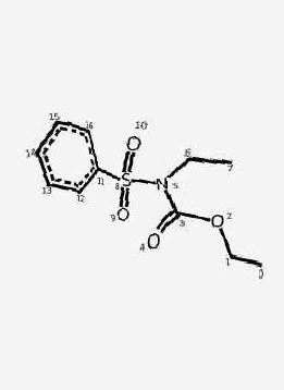 CCOC(=O)N(CC)S(=O)(=O)c1ccccc1